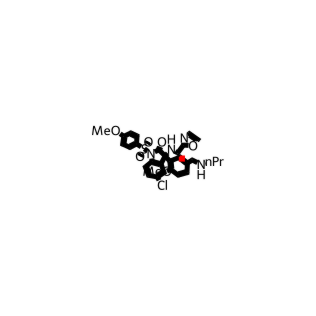 CCCNCc1ccc(OC)c(C2(N[C@@H](C)c3ncco3)C(=O)N(S(=O)(=O)c3ccc(OC)cc3)c3ccc(Cl)cc32)c1